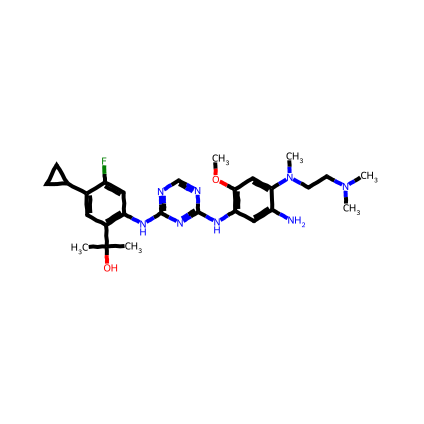 COc1cc(N(C)CCN(C)C)c(N)cc1Nc1ncnc(Nc2cc(F)c(C3CC3)cc2C(C)(C)O)n1